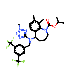 Cc1ccc2c(c1C)N(C(=O)OC(C)C)CCCC2N(Cc1cc(C(F)(F)F)cc(C(F)(F)F)c1)c1nnn(C)n1